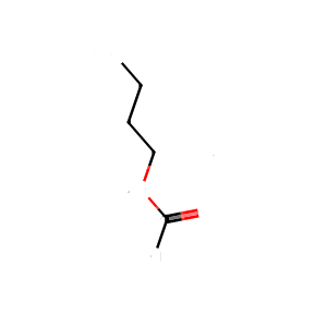 CCCCOC(C)=O.I